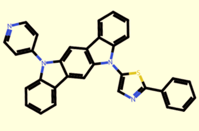 c1ccc(-c2ncc(-n3c4ccccc4c4cc5c(cc43)c3ccccc3n5-c3ccncc3)s2)cc1